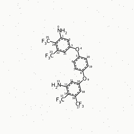 Nc1cc(Oc2ccc(Oc3cc(N)c(C(F)(F)F)c(C(F)(F)F)c3)cc2)cc(C(F)(F)F)c1C(F)(F)F